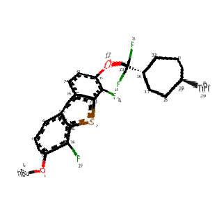 CCCCOc1ccc2c(sc3c(F)c(OC(F)(F)[C@H]4CC[C@H](CCC)CC4)ccc32)c1F